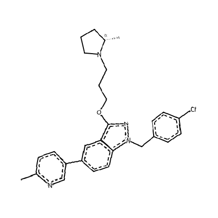 Cc1ccc(-c2ccc3c(c2)c(OCCCN2CCC[C@@H]2C)nn3Cc2ccc(Cl)cc2)cn1